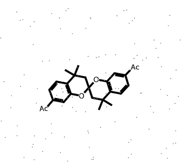 CC(=O)c1ccc2c(c1)OC1(CC2(C)C)CC(C)(C)c2ccc(C(C)=O)cc2O1